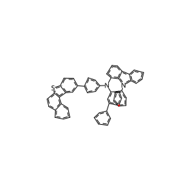 c1ccc(-c2cccc(N(c3ccc(-c4ccc5sc6ccc7ccccc7c6c5c4)cc3)c3cccc4c5ccccc5n(-c5ccccc5)c34)c2)cc1